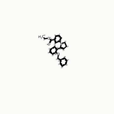 CCOC(=O)c1cccc(N2CCC=C2c2ccccc2OCc2ccccc2)c1